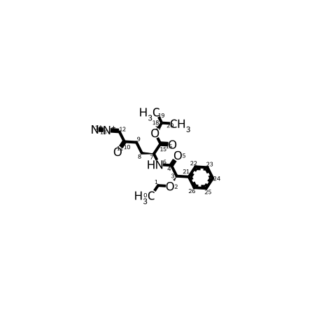 CCO[C@H](C(=O)N[C@@H](CCC(=O)C=[N+]=[N-])C(=O)OC(C)C)c1ccccc1